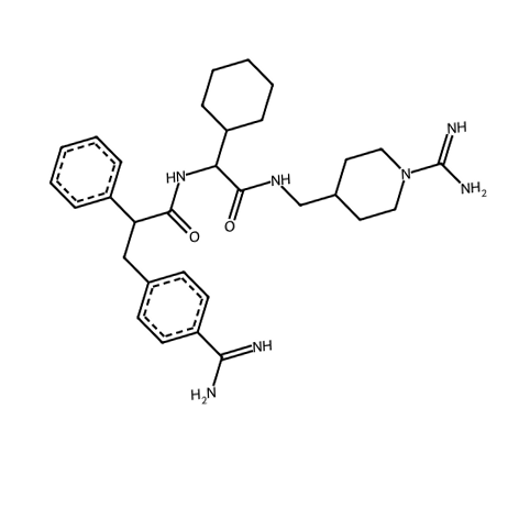 N=C(N)c1ccc(CC(C(=O)NC(C(=O)NCC2CCN(C(=N)N)CC2)C2CCCCC2)c2ccccc2)cc1